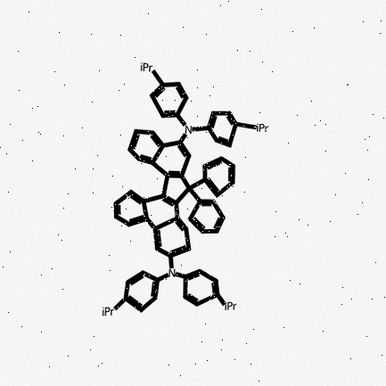 CC(C)c1ccc(N(c2ccc(C(C)C)cc2)c2ccc3c4c(c5ccccc5c3c2)-c2c(cc(N(c3ccc(C(C)C)cc3)c3ccc(C(C)C)cc3)c3ccccc23)C4(c2ccccc2)c2ccccc2)cc1